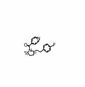 C[C@@H]1CC[C@H](CCc2ccc(F)cc2)N1C(=O)c1ccncc1